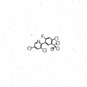 O=S(=O)(Cl)c1cc(-c2ncc(Cl)cc2Cl)c(F)cc1Cl